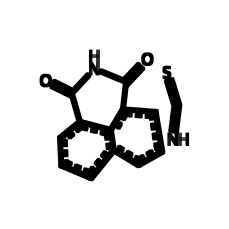 N=C=S.O=C1NC(=O)c2cccc3cccc1c23